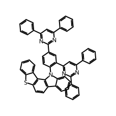 c1ccc(-c2cc(-c3ccccc3)nc(-c3ccc(-n4c5ccccc5c5ccc6sc7ccccc7c6c54)c(-c4cc(-c5ccccc5)nc(-c5ccccc5)n4)c3)n2)cc1